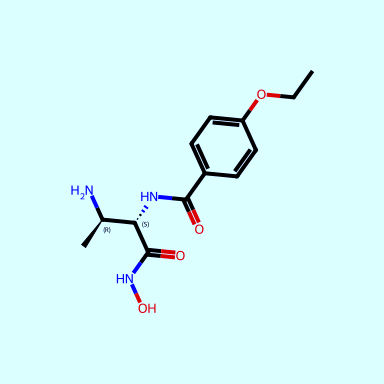 CCOc1ccc(C(=O)N[C@H](C(=O)NO)[C@@H](C)N)cc1